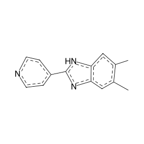 Cc1cc2nc(-c3ccncc3)[nH]c2cc1C